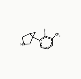 Cc1c(C(F)(F)F)cccc1C12CNCC1C2